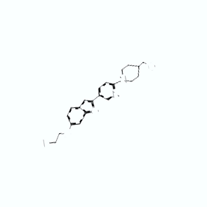 OCC1CCN(c2ccc(-c3cc4ccc(OCCF)cc4o3)cn2)CC1